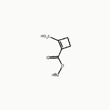 CCCCOC(=O)C1=C(C(=O)O)CC1